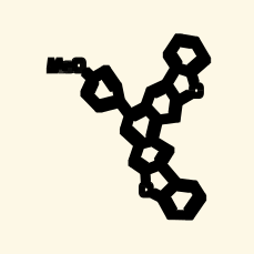 COc1ccc(-c2cc3cc4oc5ccccc5c4cc3c3cc4oc5ccccc5c4cc23)cc1